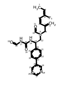 C=C(/C=C\C(F)=C/C)CN(C=O)C[C@H](NC(=O)NC=O)c1ccc(-c2cncnc2)cc1